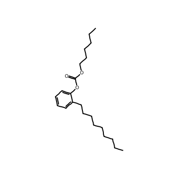 CCCCCCCCCc1ccccc1OC(=O)OCCCCCC